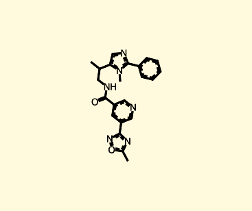 Cc1nc(-c2cncc(C(=O)NCC(C)c3cnc(-c4ccccc4)n3C)c2)no1